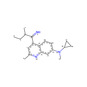 CCC(C)C(=N)c1cc(C)nc2cc(N(C)C3CC3)ccc12